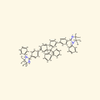 CC1(C)N=C(c2ccc(-c3ccc4c(c3)C(c3ccccc3)(c3ccccc3)c3cc(-c5ccc(C6=NC(C)(C)C(C)(C)N6c6ccccc6)cc5)ccc3-4)cc2)N(c2ccccc2)C1(C)C